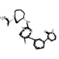 NC(=O)[C@@H]1CCC[C@H](Nc2ncc(F)c(-c3cccc(-c4ccc[nH]c4=O)c3)n2)C1